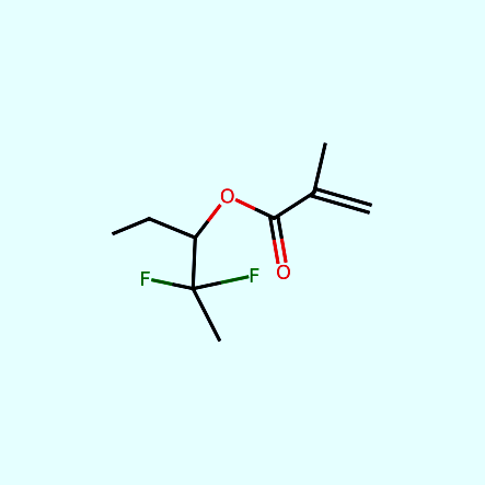 C=C(C)C(=O)OC(CC)C(C)(F)F